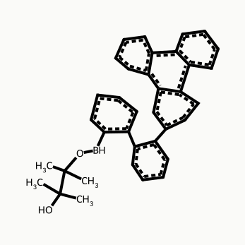 CC(C)(O)C(C)(C)OBc1ccccc1-c1ccccc1-c1ccc2c3ccccc3c3ccccc3c2c1